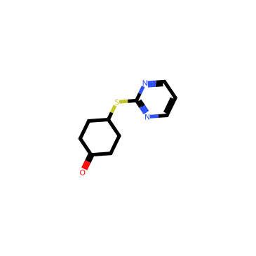 O=C1CCC(Sc2ncccn2)CC1